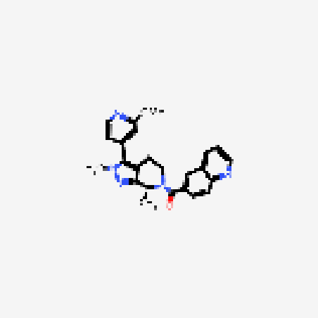 COc1cc(-c2c3c(nn2C)[C@H](C)N(C(=O)c2ccc4ncccc4c2)CC3)ccn1